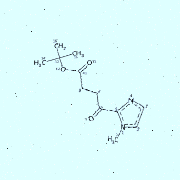 Cn1ccnc1C(=O)CCC(=O)OC(C)(C)C